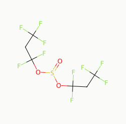 O=S(OC(F)(F)CC(F)(F)F)OC(F)(F)CC(F)(F)F